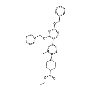 CCOC(=O)C1CCN(c2ccc(-c3ccc(OCc4ccccc4)nc3OCc3ccccc3)cc2C)CC1